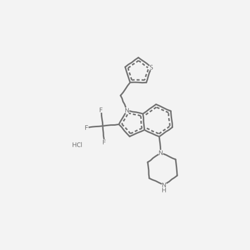 Cl.FC(F)(F)c1cc2c(N3CCNCC3)cccc2n1Cc1ccsc1